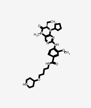 CC[C@@H]1C(=O)N(C)c2cnc(Nc3ccc(C(=O)NCCCCOC4CCNCC4)cc3OC)nc2N1C1CCCC1